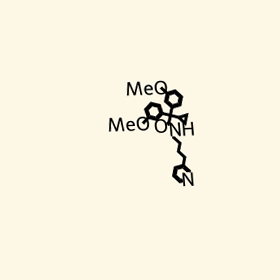 COc1cccc(C(C(=O)NCCCCc2cccnc2)(c2cccc(OC)c2)C2CC2)c1